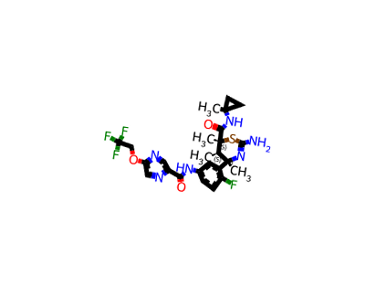 C[C@@H]1[C@@](C)(C(=O)NC2(C)CC2)SC(N)=N[C@]1(C)c1cc(NC(=O)c2cnc(OCC(F)(F)F)cn2)ccc1F